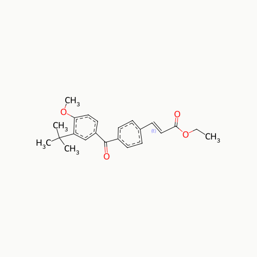 CCOC(=O)/C=C/c1ccc(C(=O)c2ccc(OC)c(C(C)(C)C)c2)cc1